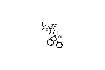 C=C[Si](C)(C)OC(C)(CC)[Si]1(CCC(C)(CC)[Si](O)(c2ccccc2)c2ccccc2)CO1